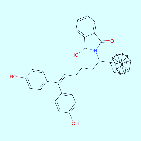 O=C1c2ccccc2C(O)N1C(CCCC=C(c1ccc(O)cc1)c1ccc(O)cc1)[C]12[CH]3[CH]4[CH]5[CH]1[Fe]45321678[CH]2[CH]1[CH]6[CH]7[CH]28